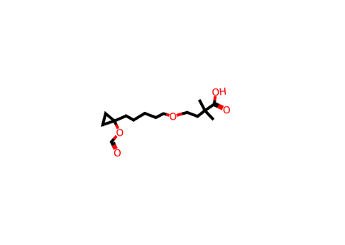 CC(C)(CCOCCCCCC1(OC=O)CC1)C(=O)O